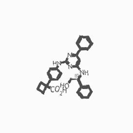 O=C(O)C1(c2ccc(Nc3nc(N[C@H](CO)c4ccccc4)cc(-c4ccccc4)n3)cc2)CCC1